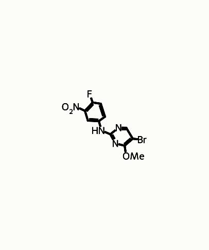 COc1nc(Nc2ccc(F)c([N+](=O)[O-])c2)ncc1Br